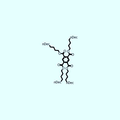 CCCCCCCCCCCCCCOC(=O)c1cc(C(=O)OCCCCCCCCCCCCCC)c(C(=O)OCCCCCCCCCCCCCC)cc1C(=O)OCCCCCCCCCCCCCC